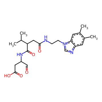 Cc1cc2ncn(CCNC(=O)CC(C(=O)NC(C=O)CC(=O)O)C(C)C)c2cc1C